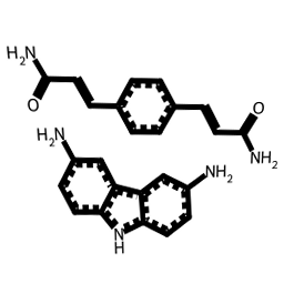 NC(=O)C=Cc1ccc(C=CC(N)=O)cc1.Nc1ccc2[nH]c3ccc(N)cc3c2c1